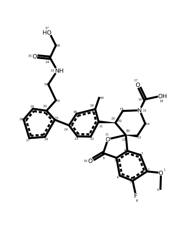 COc1cc2c(cc1F)C(=O)O[C@@]21CCN(C(=O)O)C[C@@H]1c1ccc(-c2ccccc2CCNC(=O)CO)cc1C